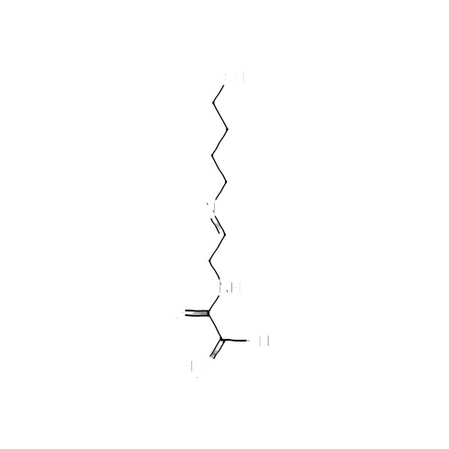 C=C(C)C(=O)NCC=NCCCCC